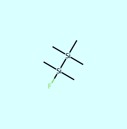 C[Si](C)(C)[Si](C)(C)F